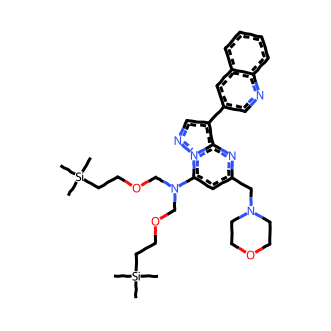 C[Si](C)(C)CCOCN(COCC[Si](C)(C)C)c1cc(CN2CCOCC2)nc2c(-c3cnc4ccccc4c3)cnn12